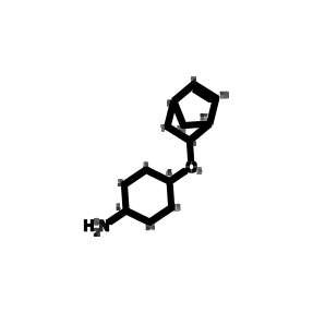 NC1CCC(OC2CC3C=CC2C3)CC1